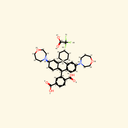 O=C(O)c1ccc(C(=O)O)c(C2=C3C=CC(=[N+]4CCCOCC4)C=C3[Si]3(CCCCC3)c3cc(N4CCCOCC4)ccc32)c1.O=C([O-])C(F)(F)F